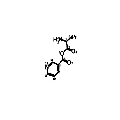 CC(C)C(N)C(=O)OC(=O)c1cccnc1